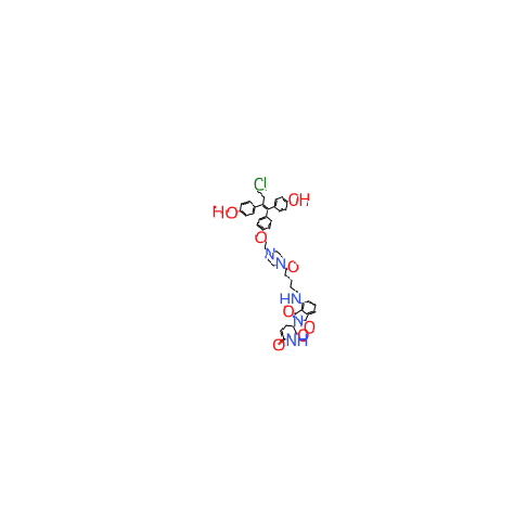 O=C1CCC(N2C(=O)c3cccc(NCCCCC(=O)N4CCN(CCOc5ccc(C(=C(CCCl)c6ccc(O)cc6)c6ccc(O)cc6)cc5)CC4)c3C2=O)C(=O)N1